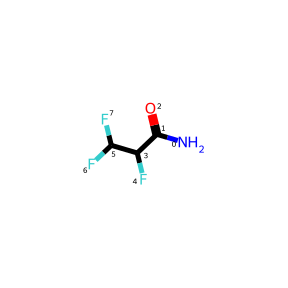 NC(=O)C(F)C(F)F